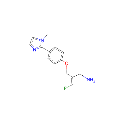 Cn1ccnc1-c1ccc(OC/C(=C\F)CN)cc1